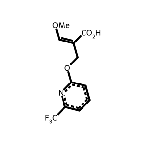 COC=C(COc1cccc(C(F)(F)F)n1)C(=O)O